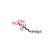 CCCCCCCCCCCC(=O)NCC(O)O